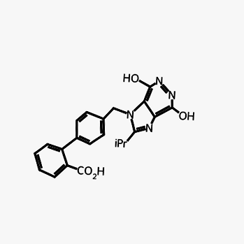 CC(C)c1nc2c(O)nnc(O)c2n1Cc1ccc(-c2ccccc2C(=O)O)cc1